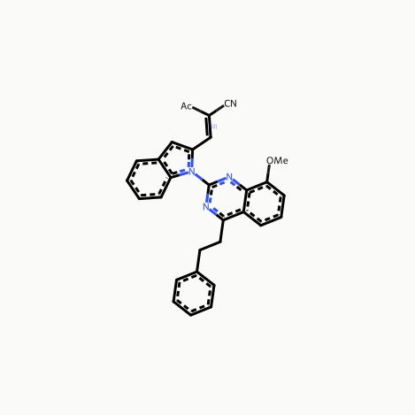 COc1cccc2c(CCc3ccccc3)nc(-n3c(/C=C(/C#N)C(C)=O)cc4ccccc43)nc12